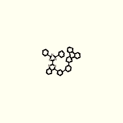 c1ccc(-c2nc(-c3ccccc3)nc(-c3nc(-c4cccc(-c5cccc(-c6ccc7c8ccccc8c8ccccc8c7c6)c5)c4)c4ccccc4n3)n2)cc1